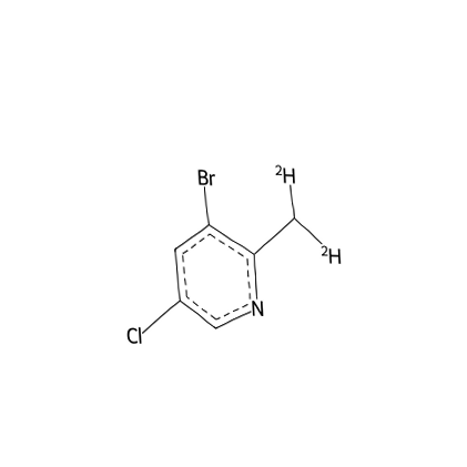 [2H]C([2H])c1ncc(Cl)cc1Br